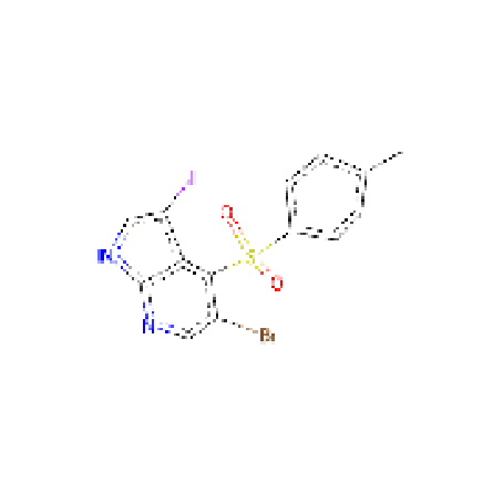 Cc1ccc(S(=O)(=O)c2c(Br)cnc3[nH]cc(I)c23)cc1